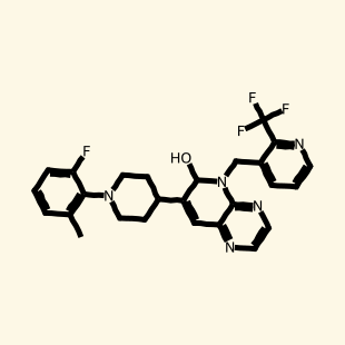 Cc1cccc(F)c1N1CCC(C2=Cc3nccnc3N(Cc3cccnc3C(F)(F)F)C2O)CC1